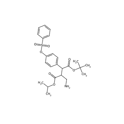 CC(C)OC(=O)C(CN)C(C(=O)OC(C)(C)C)c1ccc(OS(=O)(=O)c2ccccc2)cc1